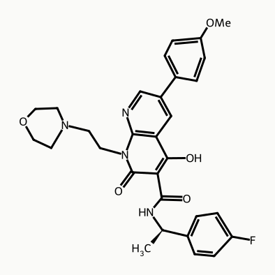 COc1ccc(-c2cnc3c(c2)c(O)c(C(=O)N[C@H](C)c2ccc(F)cc2)c(=O)n3CCN2CCOCC2)cc1